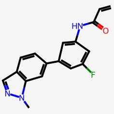 C=CC(=O)Nc1cc(F)cc(-c2ccc3cnn(C)c3c2)c1